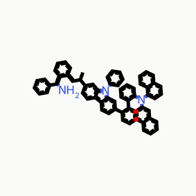 CC(C=c1cccc/c1=C(/N)c1ccccc1)c1ccc2c3ccc(-c4ccccc4-c4ccccc4N(c4ccc5ccccc5c4)c4cccc5ccccc45)cc3n(-c3ccccc3)c2c1